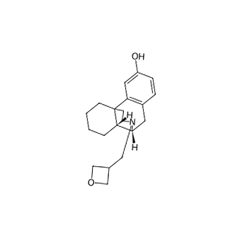 Oc1ccc2c(c1)C13CCCC[C@H]1[C@@H](C2)N(CC1COC1)CC3